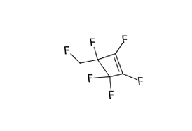 FCC1(F)C(F)=C(F)C1(F)F